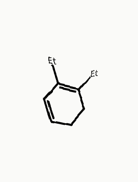 CCC1=C(CC)CCC=C1